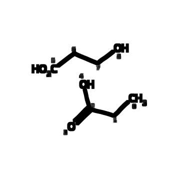 CCC(=O)O.O=C(O)CCO